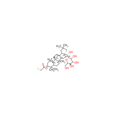 CC1(C)CC[C@]2([C@H](O)[C@H]3OC(CO)[C@H](O)C(O)C3O)CC[C@]3(C)C(=CCC4[C@@]5(C)CC[C@H](OC(=O)CF)C(C)(C)C5CC[C@]43C)C2C1